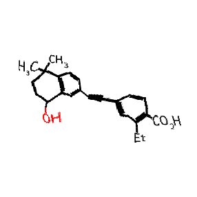 CCc1cc(C#Cc2ccc3c(c2)C(O)CCC3(C)C)ccc1C(=O)O